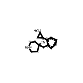 Cl.N#CC1(Cc2ccccc2C2CC2)CCNCC1